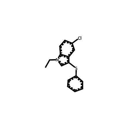 CCn1cc(Sc2ccccc2)c2cc(Cl)ccc21